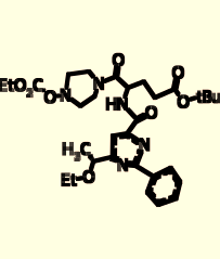 CCOC(=O)ON1CCN(C(=O)C(CCC(=O)OC(C)(C)C)NC(=O)c2cc([C@H](C)OCC)nc(-c3ccccc3)n2)CC1